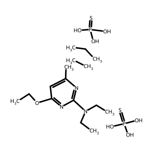 CC.CCC.CCOc1cc(C)nc(N(CC)CC)n1.OP(O)(O)=S.OP(O)(O)=S